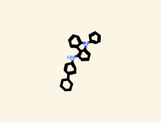 c1ccc(-n2c3ccccc3c3c(Nc4ccc(C5CCCCC5)cc4)cccc32)cc1